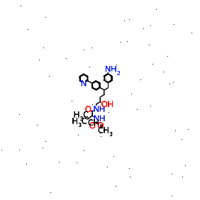 COC(=O)NC(C(=O)NCC(O)CCC(Cc1ccc(N)cc1)c1ccc(-c2ccccn2)cc1)C(C)(C)C